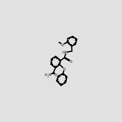 COc1ccccc1CNC(=O)c1cccc(C(N)=O)c1Oc1ccccc1